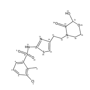 Cc1c(Cl)cccc1S(=O)(=O)Nc1nc(CCN2CCOC(O)C2=O)cs1